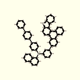 c1ccc(-c2ccc(-c3ccc(N(c4cccc(-c5ccc6c7ccccc7c7c(ccc8oc9ccccc9c87)c6c5)c4)c4cccc5ccccc45)cc3)cc2)cc1